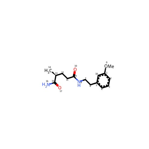 COc1cccc(CCNC(=O)[CH]C[C@H](C)C(N)=O)c1